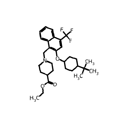 CCOC(=O)C1CCN(Cc2c(OC3CCC(C(C)(C)C)CC3)cc(C(F)(F)F)c3ccccc23)CC1